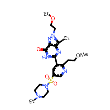 CCOCCn1nc2c(=O)[nH]c(-c3cc(S(=O)(=O)N4CCN(CC)CC4)cnc3CCOC)nc2c1CC